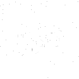 C/C=C\C1=C(C)CN(c2cc(NCC3(CN)COC3)c3cc(C)ccc3n2)CCC1(F)F